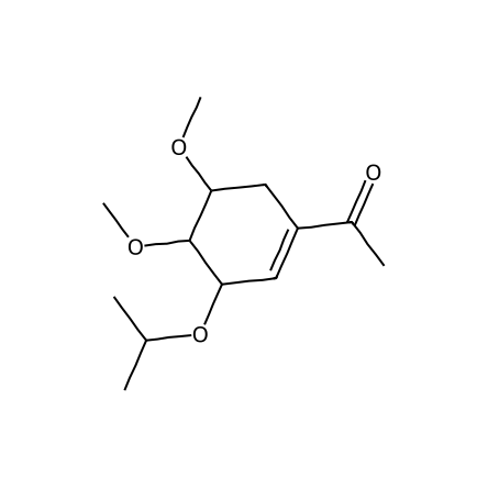 COC1CC(C(C)=O)=CC(OC(C)C)C1OC